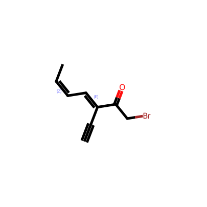 C#C/C(=C\C=C/C)C(=O)CBr